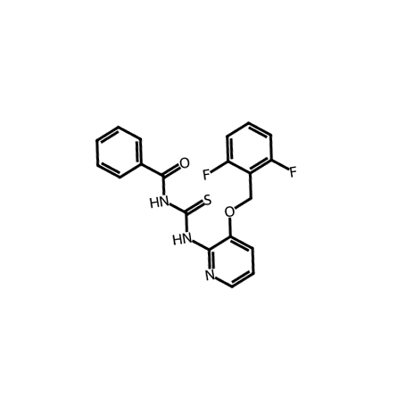 O=C(NC(=S)Nc1ncccc1OCc1c(F)cccc1F)c1ccccc1